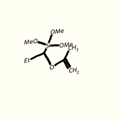 C=C(C)OC(CC)[Si](OC)(OC)OC